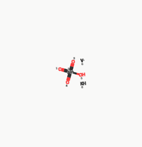 [KH].[O]=[Mn](=[O])(=[O])[OH].[V]